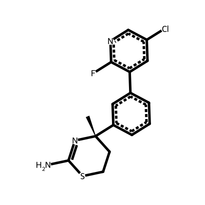 C[C@@]1(c2cccc(-c3cc(Cl)cnc3F)c2)CCSC(N)=N1